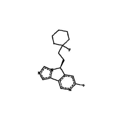 Fc1cc2c(cn1)-c1cncn1[C@H]2CCC1(F)CCCCC1